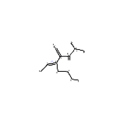 C/C=C(\CCCC)C(=O)NN(C)C